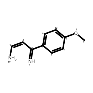 COc1ccc(C(=N)/C=C\N)cc1